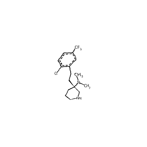 CN(C)[C@@]1(CCc2cc(C(F)(F)F)ccc2Cl)CCCNC1